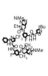 CCN1C(=O)N(c2ccc(F)c(NC(=O)Nc3cc(C(C)(C)C)no3)c2)Cc2cnc(NC)nc21.CNc1ncc2c(n1)N(C)C(=O)N(c1cc(NC(=O)Nc3cc(C(F)(F)F)nn3-c3ccccc3)c(F)cc1C)C2